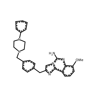 COc1cccc2c1nc(N)n1cc(Cc3ccc(CN4CCN(c5ccccc5)CC4)cc3)nc21